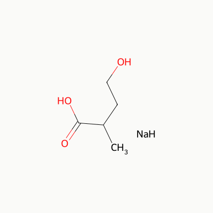 CC(CCO)C(=O)O.[NaH]